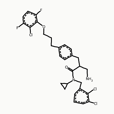 NCC(Cc1ccc(CCCOc2c(F)ccc(F)c2Cl)cc1)C(=O)N(Cc1cccc(Cl)c1Cl)C1CC1